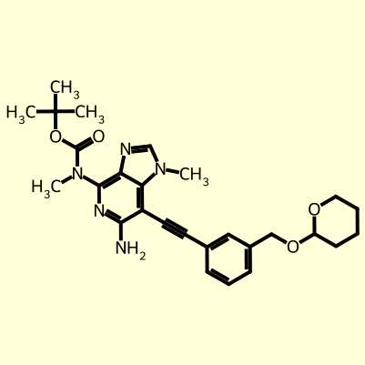 CN(C(=O)OC(C)(C)C)c1nc(N)c(C#Cc2cccc(COC3CCCCO3)c2)c2c1ncn2C